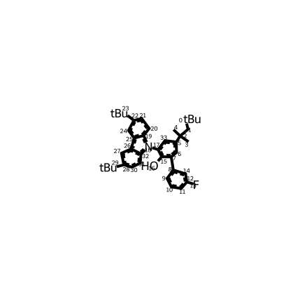 CC(C)(C)CC(C)(C)c1cc(-c2cccc(F)c2)c(O)c(-n2c3ccc(C(C)(C)C)cc3c3cc(C(C)(C)C)ccc32)c1